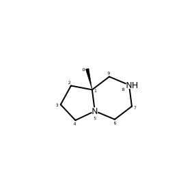 C[C@]12CCCN1CCNC2